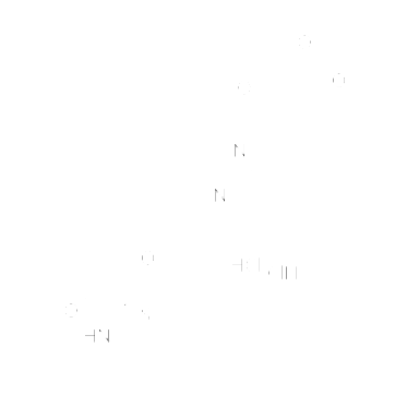 COc1cc(OC)c(OC)cc1CCN1CCN(CCCCOc2ccccc2C2(C)Sc3ccccc3NC2C=O)CC1.Cl.Cl